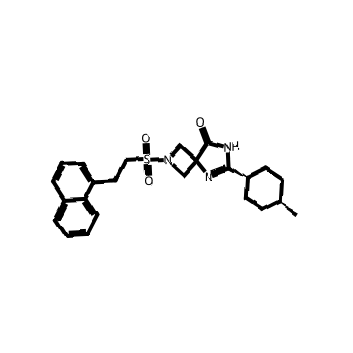 C[C@H]1CC[C@@H](C2=NC3(CN(S(=O)(=O)CCc4cccc5ccccc45)C3)C(=O)N2)CC1